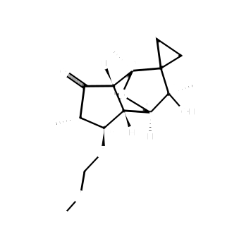 COCO[C@@H]1[C@H]2[C@H]3O[C@@](C)([C@H]2C(=O)[C@H]1C)C1(CC1)[C@@]3(C)O